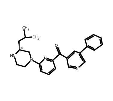 CC(C)C[C@H]1CN(c2cccc(C(=O)c3cncc(-c4ccccc4)c3)n2)CCN1